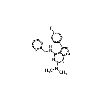 CN(C)c1nc(NCc2ccccn2)c2c(-c3ccc(F)cc3)csc2n1